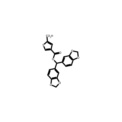 O=C(OC(c1ccc2c(c1)OCO2)c1ccc2c(c1)OCO2)c1csc(C(=O)O)c1